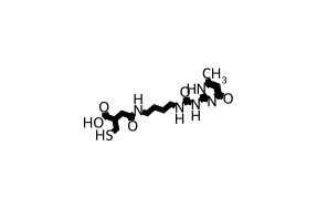 Cc1cc(=O)nc(NC(=O)NCCCCNC(=O)CC(CS)C(=O)O)[nH]1